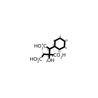 O=C(O)CC(O)(C(=O)O)C(C(=O)O)C1CCCCC1